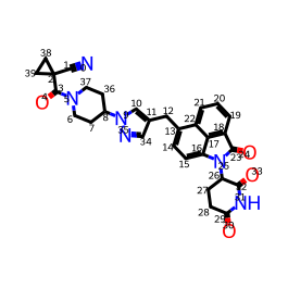 N#CC1(C(=O)N2CCC(n3cc(Cc4ccc5c6c(cccc46)C(=O)N5C4CCC(=O)NC4=O)cn3)CC2)CC1